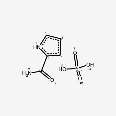 NC(=O)c1ccc[nH]1.O=S(=O)(O)O